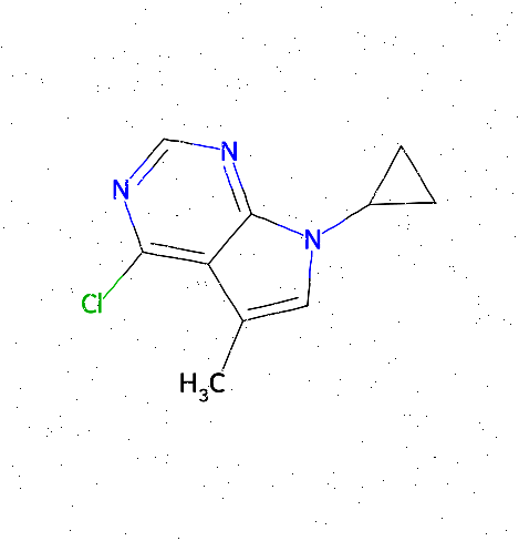 Cc1cn(C2CC2)c2ncnc(Cl)c12